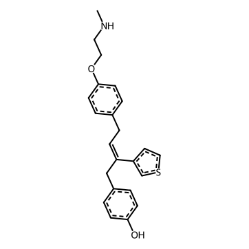 CNCCOc1ccc(CC=C(Cc2ccc(O)cc2)c2ccsc2)cc1